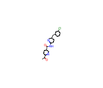 CC(=O)c1ccc(C(=O)Nc2ccc(Cc3cccc(Cl)c3)cn2)cn1